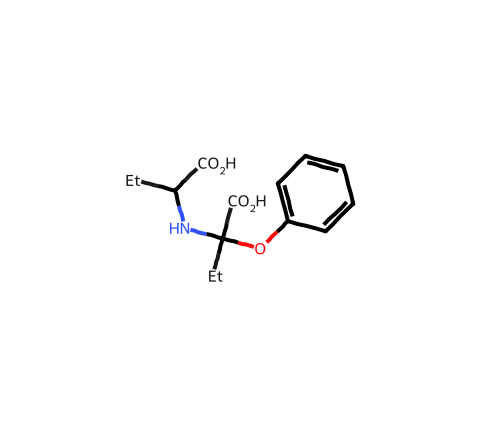 CCC(NC(CC)(Oc1ccccc1)C(=O)O)C(=O)O